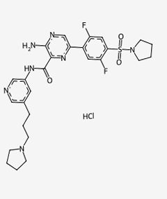 Cl.Nc1ncc(-c2cc(F)c(S(=O)(=O)N3CCCC3)cc2F)nc1C(=O)Nc1cncc(CCCN2CCCC2)c1